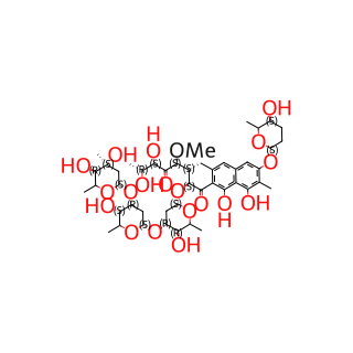 CO[C@H](C(=O)[C@@H](O)[C@@H](C)O)[C@@H]1Cc2cc3cc(O[C@H]4CC[C@H](O)C(C)O4)c(C)c(O)c3c(O)c2C(=O)[C@H]1O[C@H]1C[C@@H](O[C@H]2C[C@@H](O[C@H]3C[C@](C)(O)[C@H](O)C(C)O3)[C@@H](O)C(C)O2)[C@H](O)C(C)O1